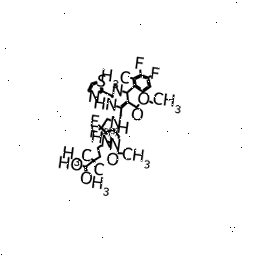 CCOC(=O)C1=C(CN2CC(F)(F)[C@H]3[C@@H]2CN(C(C)=O)N3CCC(C)(C)C(=O)O)NC(c2nccs2)=NC1c1ccc(F)c(F)c1C